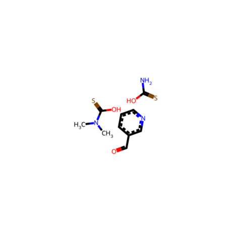 CN(C)C(O)=S.NC(O)=S.O=Cc1cccnc1